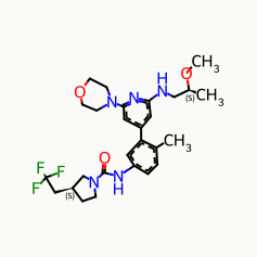 CO[C@@H](C)CNc1cc(-c2cc(NC(=O)N3CC[C@@H](CC(F)(F)F)C3)ccc2C)cc(N2CCOCC2)n1